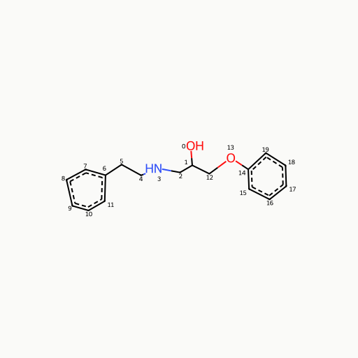 OC(CNCCc1ccccc1)COc1ccccc1